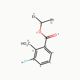 CCC(OC(=O)c1cccc(F)c1C(=O)O)C(C)C